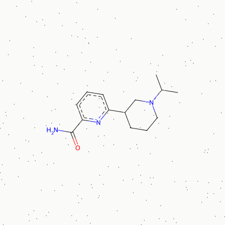 CC(C)N1CCCC(c2cccc(C(N)=O)n2)C1